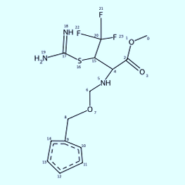 COC(=O)C(NCOCc1ccccc1)C(SC(=N)N)C(F)(F)F